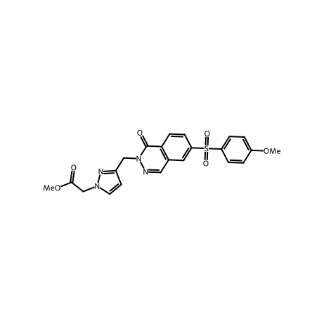 COC(=O)Cn1ccc(Cn2ncc3cc(S(=O)(=O)c4ccc(OC)cc4)ccc3c2=O)n1